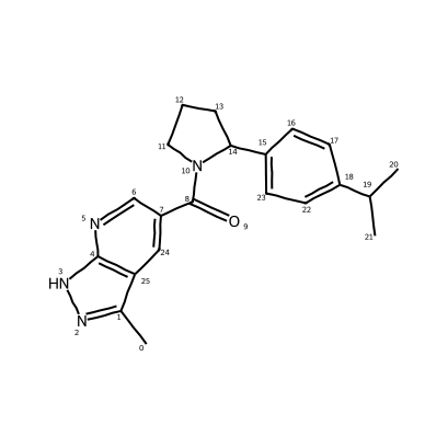 Cc1n[nH]c2ncc(C(=O)N3CCCC3c3ccc(C(C)C)cc3)cc12